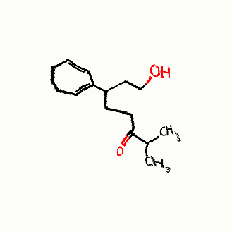 CC(C)C(=O)CCC(CCO)C1=CCCC=C1